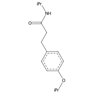 CC(C)NC(=O)CCc1ccc(OC(C)C)cc1